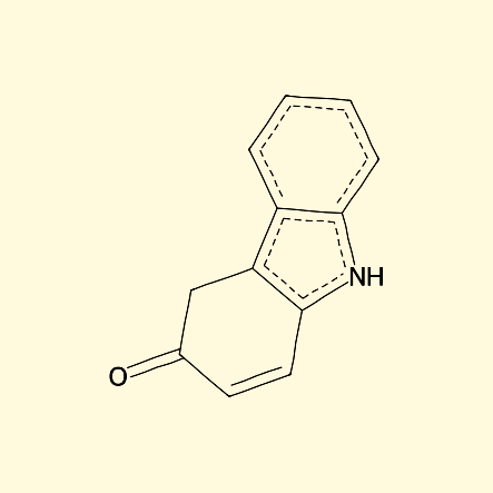 O=C1C=Cc2[nH]c3ccccc3c2C1